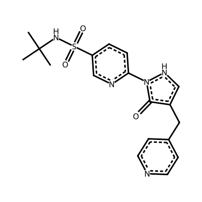 CC(C)(C)NS(=O)(=O)c1ccc(-n2[nH]cc(Cc3ccncc3)c2=O)nc1